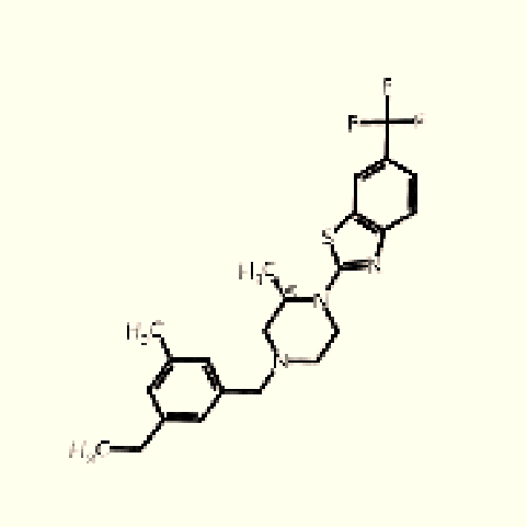 CCc1cc(C)cc(CN2CCN(c3nc4ccc(C(F)(F)F)cc4s3)[C@H](C)C2)c1